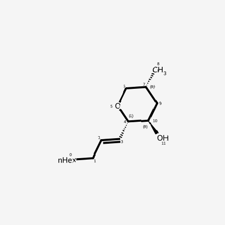 CCCCCCCC=C[C@@H]1OC[C@H](C)C[C@H]1O